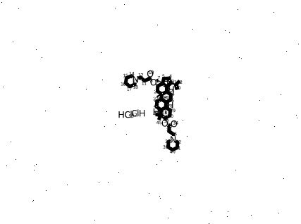 C=C(C)[C@@H]1CC[C@]2(COC(=O)CCN3CCCCC3)CC[C@]3(C)[C@H](CC[C@@H]4[C@@]5(C)CCC(OC(=O)CCN6CCCCC6)C(C)(C)[C@@H]5CC[C@]43C)[C@@H]12.Cl.Cl